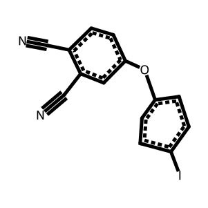 N#Cc1ccc(Oc2ccc(I)cc2)cc1C#N